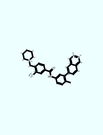 Cc1ccc(NC(=O)c2ccc(CN3CCCCC3)c(C(F)(F)F)c2)cc1-c1ccc2cnncc2c1